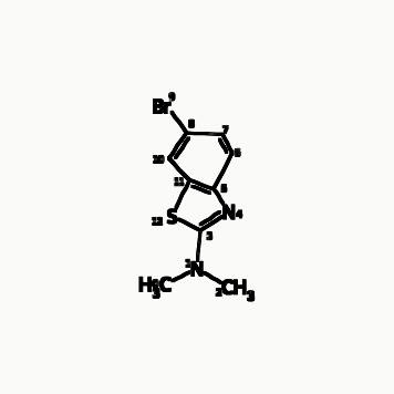 CN(C)c1nc2ccc(Br)cc2s1